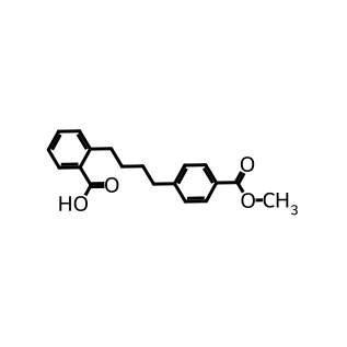 COC(=O)c1ccc(CCCCc2ccccc2C(=O)O)cc1